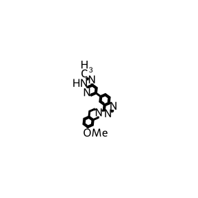 COc1ccc2c(c1)CN(c1ncnc3ccc(-c4cnc5[nH]c(C)nc5c4)cc13)CC2